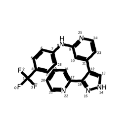 FC(F)(F)c1ccc(Nc2cc(-c3c[nH]nc3-c3ccccn3)ccn2)cc1